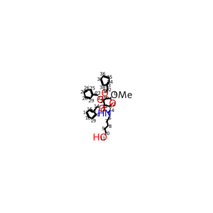 CO[C@@H]1O[C@H](CNCCCCCO)[C@@H](OCc2ccccc2)[C@H](OCc2ccccc2)[C@H]1OCc1ccccc1